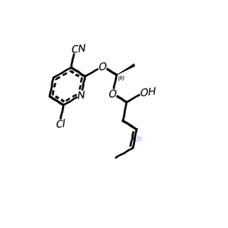 C/C=C\CC(O)O[C@H](C)Oc1nc(Cl)ccc1C#N